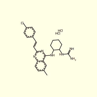 Cc1ccc2nc(C=Cc3ccc(Cl)cc3)nc(NC3CCCCC3NC(=N)N)c2c1.Cl.Cl